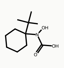 CC(C)(C)C1(N(O)C(=O)O)CCCCC1